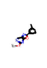 CCOc1ncc2nc(-c3cccc(C)c3)oc2n1